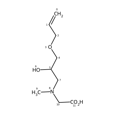 C=CCOCC(O)CN(C)CC(=O)O